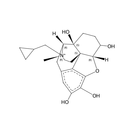 C[N@+]1(CC2CC2)CC[C@]23c4c5cc(O)c(O)c4O[C@H]2C(O)CC[C@@]3(O)[C@H]1C5